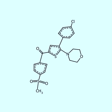 CS(=O)(=O)c1ccc(C(=O)c2cc(-c3ccc(Cl)cc3)c(N3CCOCC3)s2)cc1